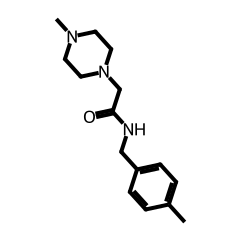 Cc1ccc(CNC(=O)CN2CCN(C)CC2)cc1